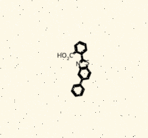 O=C(O)c1ccccc1-c1nc2cc(-c3ccccc3)ccc2s1